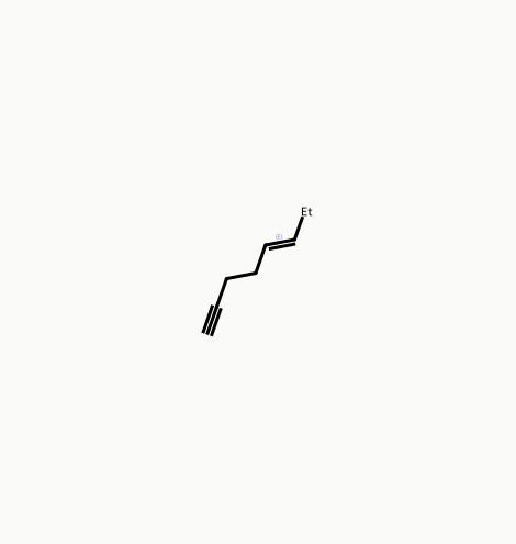 C#CCC/C=C/CC